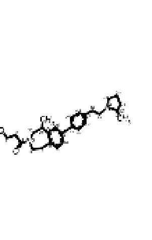 COCCC(=O)N1CCc2ccc(-c3ccc(CCN4CCCC4C)cc3)cc2C(C)C1